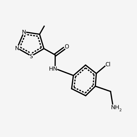 Cc1nnsc1C(=O)Nc1ccc(CN)c(Cl)c1